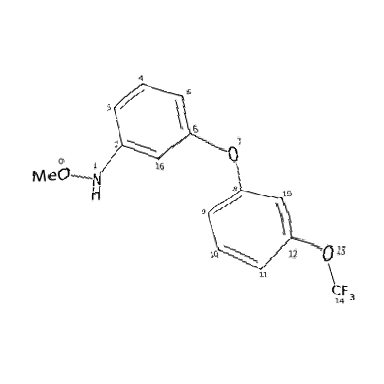 CONc1cccc(Oc2cccc(OC(F)(F)F)c2)c1